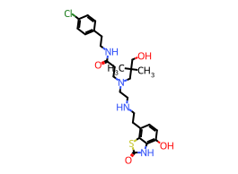 CC(C)(CO)CN(CCNCCc1ccc(O)c2[nH]c(=O)sc12)CCC(=O)NCCc1ccc(Cl)cc1